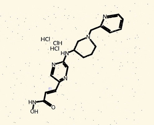 Cl.Cl.Cl.O=C(/C=C/c1cnc(NC2CCCN(Cc3ccccn3)C2)cn1)NO